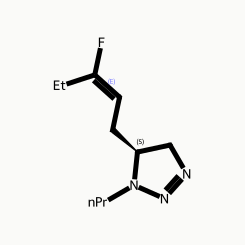 CCCN1N=NC[C@@H]1C/C=C(/F)CC